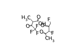 CC(=O)C(F)C(=O)CF.CC(C(=O)O)C(=O)C(F)(F)F